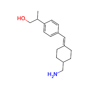 CC(CO)c1ccc(C=C2CCC(CN)CC2)cc1